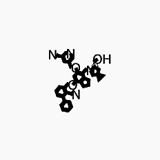 N#Cc1cncc(COc2cc(OCc3cccc(-c4ccccc4)c3C#N)c3c(c2CN2CC4(CC4)C[C@H]2CO)CCC3)c1